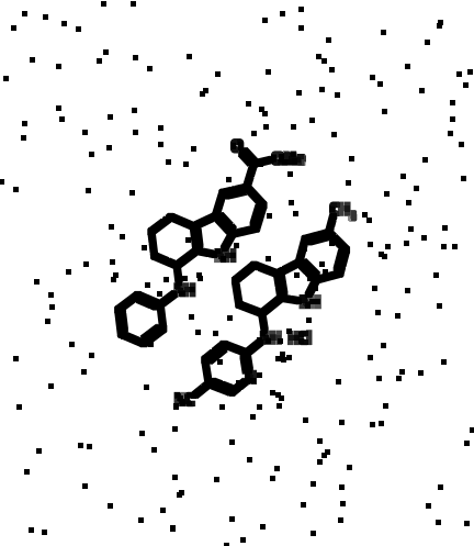 COC(=O)c1ccc2[nH]c3c(c2c1)CCCC3Nc1ccccc1.Cc1ccc2[nH]c3c(c2c1)CCCC3Nc1ccc(C#N)cn1.Cl